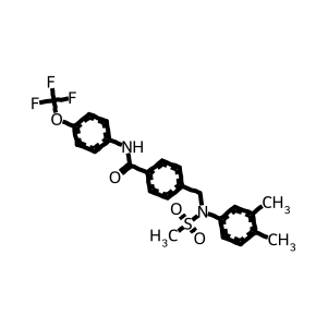 Cc1ccc(N(Cc2ccc(C(=O)Nc3ccc(OC(F)(F)F)cc3)cc2)S(C)(=O)=O)cc1C